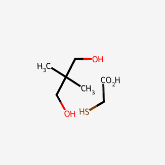 CC(C)(CO)CO.O=C(O)CS